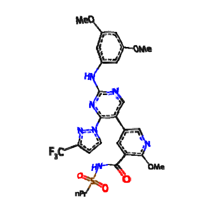 CCCS(=O)(=O)NC(=O)c1cc(-c2cnc(Nc3cc(OC)cc(OC)c3)nc2-n2ccc(C(F)(F)F)n2)cnc1OC